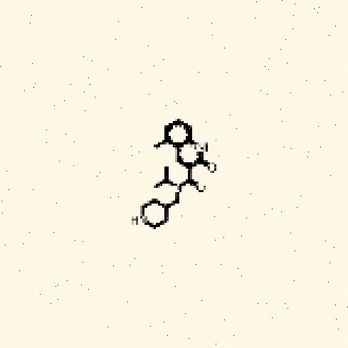 Cc1cccc2[nH]c(=O)c(C(=O)N(CC3CCNCC3)C(C)C)cc12